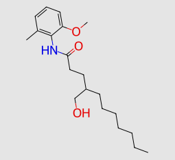 CCCCCCCC(CO)CCC(=O)Nc1c(C)cccc1OC